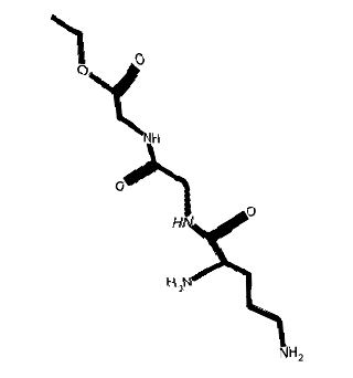 CCOC(=O)CNC(=O)CNC(=O)C(N)CCCN